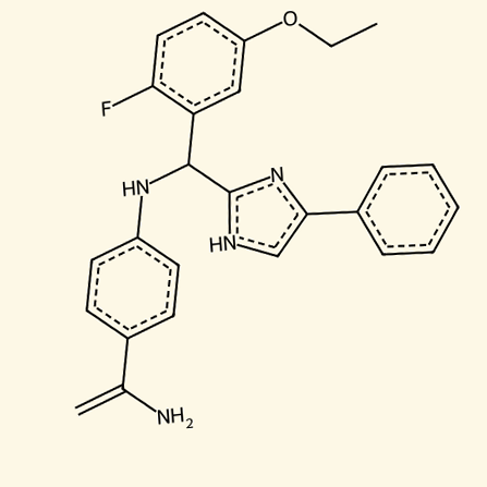 C=C(N)c1ccc(NC(c2nc(-c3ccccc3)c[nH]2)c2cc(OCC)ccc2F)cc1